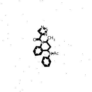 CC(=O)N(c1ccccc1)C1CC(C)N(C(=O)c2cnsn2)c2ccccc21